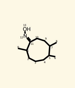 CC1CCCC(C)C(C)CC/C1=N\O